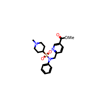 COC(=O)c1ccc(CN(c2ccccc2)S(=O)(=O)C2CCN(C)CC2)nc1